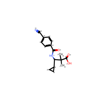 CC(C)(C(=O)O)C(NC(=O)c1ccc(C#N)cc1)C1CC1